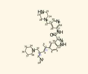 C=N/C=C(\C=C(/C)c1ccc2[nH]nc(C(=O)Nc3cncc(CN4CCNCC4)c3)c2c1)CN1CCCCC1